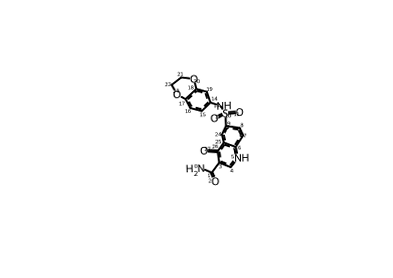 NC(=O)c1c[nH]c2ccc(S(=O)(=O)Nc3ccc4c(c3)OCCO4)cc2c1=O